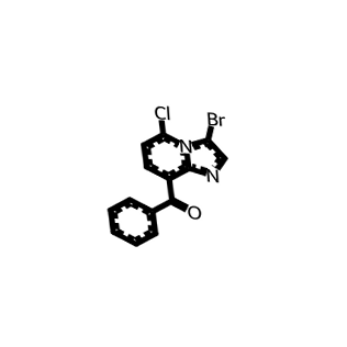 O=C(c1ccccc1)c1ccc(Cl)n2c(Br)cnc12